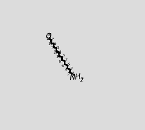 NCCCCCCCCCCCCCCCCCC=O